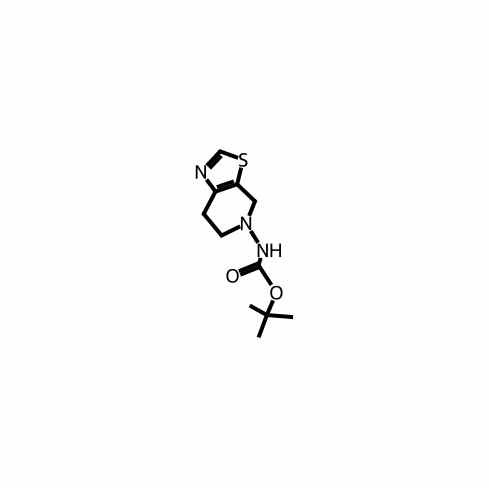 CC(C)(C)OC(=O)NN1CCc2ncsc2C1